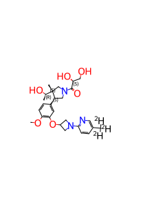 [2H]C([2H])([2H])c1ccc(N2CC(Oc3cc([C@@H]4CN(C(=O)[C@@H](O)CO)C[C@@]4(C)[C@@H](C)O)ccc3OC)C2)nc1